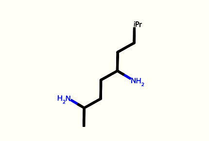 CC(C)CCC(N)CCC(C)N